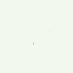 O=C(C1CCN(C(=O)NCC(O)CN2CCc3ccccc3C2)CC1)C1C2CCC1COC2